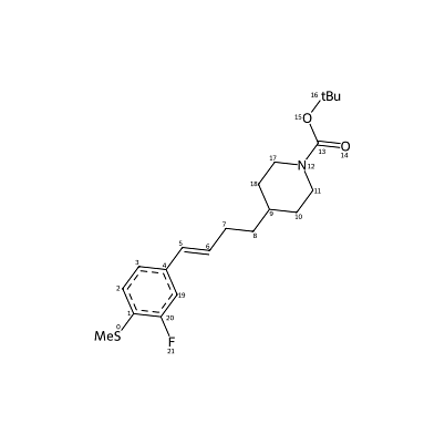 CSc1ccc(C=CCCC2CCN(C(=O)OC(C)(C)C)CC2)cc1F